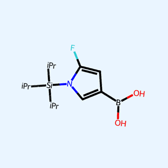 CC(C)[Si](C(C)C)(C(C)C)n1cc(B(O)O)cc1F